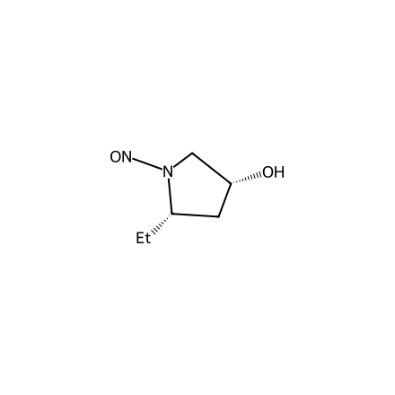 CC[C@H]1C[C@@H](O)CN1N=O